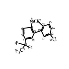 FC(F)(F)C(F)(F)c1c[c]c(Br)c(-c2cc(Cl)ccc2Cl)c1